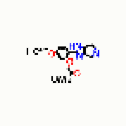 C#CCOc1ccc(-c2nc3cnccc3[nH]2)c(OCC(=O)OC)c1